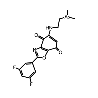 C[As](C)CCNC1=CC(=O)c2oc(-c3cc(F)cc(F)c3)nc2C1=O